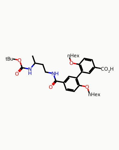 CCCCCCOc1ccc(C(=O)O)cc1-c1cc(C(=O)NCCC(C)NC(=O)OC(C)(C)C)ccc1OCCCCCC